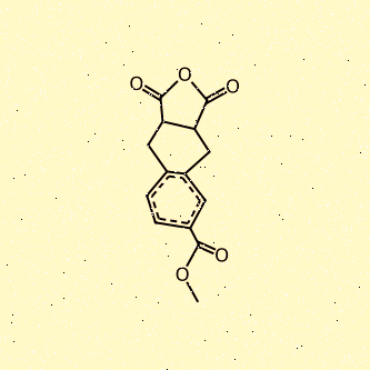 COC(=O)c1ccc2c(c1)CC1C(=O)OC(=O)C1C2